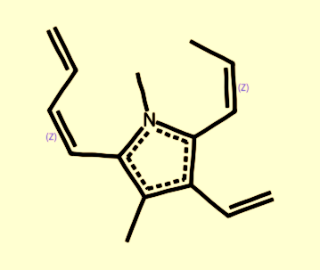 C=C/C=C\c1c(C)c(C=C)c(/C=C\C)n1C